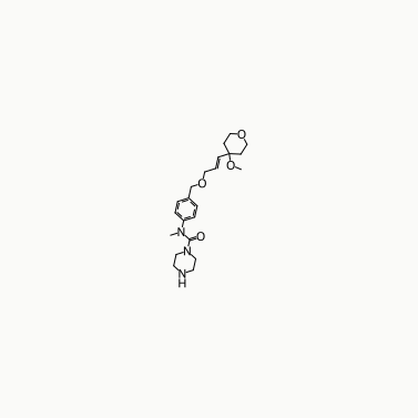 COC1(C=CCOCc2ccc(N(C)C(=O)N3CCNCC3)cc2)CCOCC1